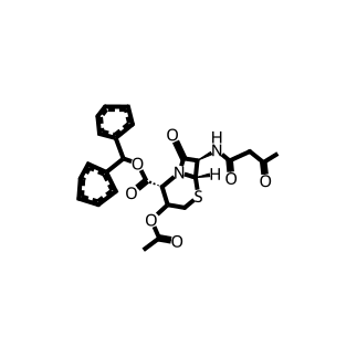 CC(=O)CC(=O)N[C@@H]1C(=O)N2[C@@H](C(=O)OC(c3ccccc3)c3ccccc3)C(OC(C)=O)CS[C@@H]12